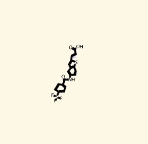 O=C(O)/C=C/c1cc2cc(NC(=O)c3ccc(S(F)(F)F)cc3)ccc2s1